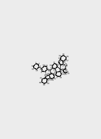 c1ccc(-c2ccc(N(c3cccc4c3-c3ccccc3C43c4ccccc4Oc4c3ccc3ccccc43)c3cccc4c3oc3ccccc34)cc2)cc1